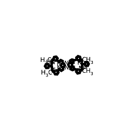 CC1=c2cccc3c2=NC1C(c1ccccc1)c1[nH]c2c(cccc2c1C)-c1ccc2c(n1)c1nc-3ccc1c1nc3c4ccc5nc4c4nc(ccc4c3nc21)c1cccc2c(C)c(nc21)c(-c1ccccc1)c1[nH]c2c(cccc52)c1C